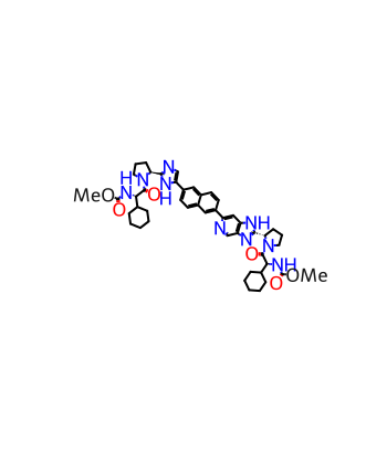 COC(=O)N[C@H](C(=O)N1CCC[C@H]1c1ncc(-c2ccc3cc(-c4cc5[nH]c([C@@H]6CCCN6C(=O)[C@@H](NC(=O)OC)C6CCCCC6)nc5cn4)ccc3c2)[nH]1)C1CCCCC1